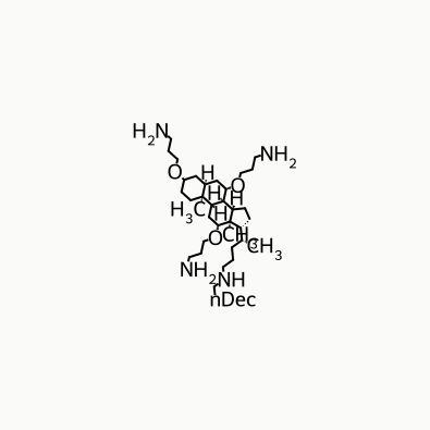 CCCCCCCCCCCNCCC[C@@H](C)[C@H]1CC[C@H]2[C@@H]3[C@H](OCCCN)C[C@@H]4C[C@H](OCCCN)CC[C@]4(C)[C@H]3C[C@H](OCCCN)[C@]12C